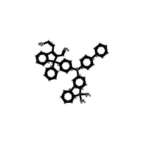 C=CC1=C(/C=C\C)c2ccccc2C1(c1ccccc1)c1ccc(N(c2ccc(-c3ccccc3)cc2)c2ccc3c(c2)-c2ccccc2[Si]3(C)C)cc1